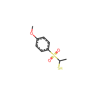 COc1ccc(S(=O)(=O)C(C)S)cc1